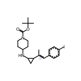 C/C(=C\c1ccc(I)cc1)C1CC1NC1CCN(C(=O)OC(C)(C)C)CC1